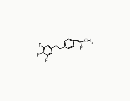 CC(F)=Cc1ccc(CCc2cc(F)c(F)c(F)c2)cc1